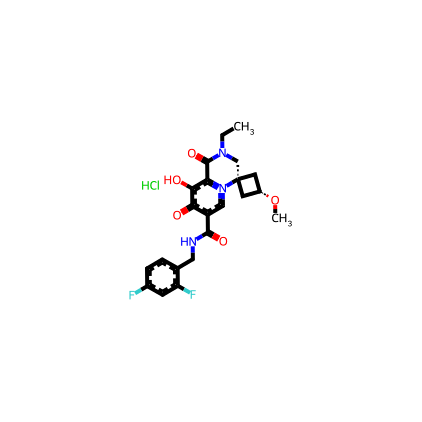 CCN1C[C@]2(C[C@@H](OC)C2)n2cc(C(=O)NCc3ccc(F)cc3F)c(=O)c(O)c2C1=O.Cl